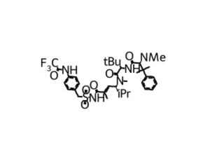 CN[C@H](C(=O)NC(C(=O)N(C)[C@H](/C=C(\C)C(=O)NS(=O)(=O)Cc1ccc(NC(=O)C(F)(F)F)cc1)C(C)C)C(C)(C)C)C(C)(C)c1ccccc1